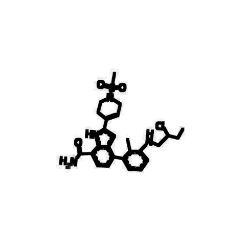 CCC(Cl)CNc1cccc(-c2ccc(C(N)=O)c3[nH]c(C4=CCN(S(C)(=O)=O)CC4)cc23)c1C